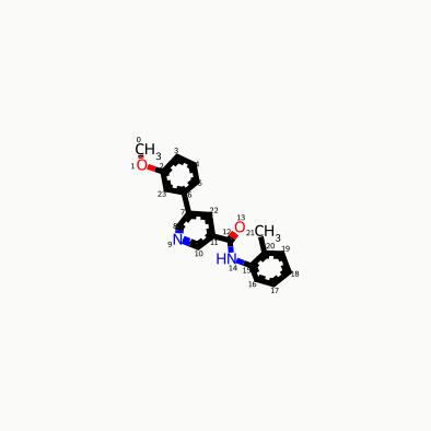 COc1cccc(-c2cncc(C(=O)Nc3ccccc3C)c2)c1